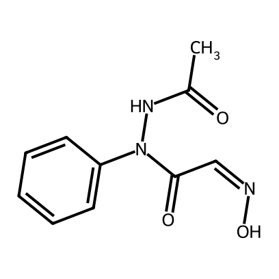 CC(=O)NN(C(=O)/C=N\O)c1ccccc1